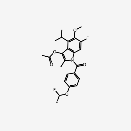 COc1c(F)cc2c(c(OC(C)=O)c(C)n2C(=O)c2ccc(OC(F)F)cc2)c1C(C)C